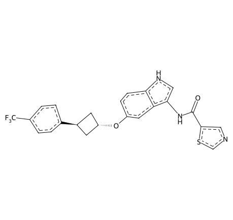 O=C(Nc1c[nH]c2ccc(O[C@H]3C[C@H](c4ccc(C(F)(F)F)cc4)C3)cc12)c1cncs1